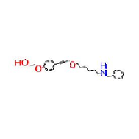 OCCOc1ccc(C#CCOCCCCCCNCc2ccccc2)cc1